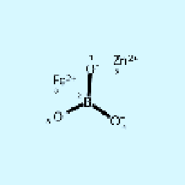 [Fe+2].[O-]B([O-])[O-].[Zn+2]